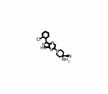 N#CC1(N)CCN(c2cnc3c(-c4ccccc4Cl)n[nH]c3n2)CC1